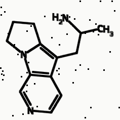 CC(N)Cc1c2n(c3cnccc13)CCC2